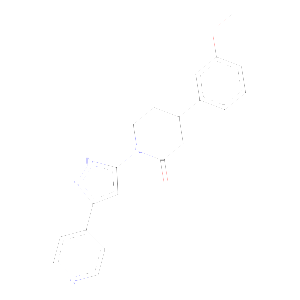 COc1cccc(C2CCN(c3cc(-c4ccncc4)n[nH]3)C(=O)C2)c1